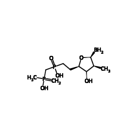 B[C@@H]1O[C@H](CCP(=O)(O)CP(=C)(C)O)C(O)[C@@H]1C